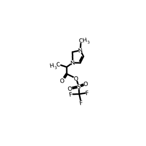 CC(C(=O)OS(=O)(=O)C(F)(F)F)N1C=CN(C)C1